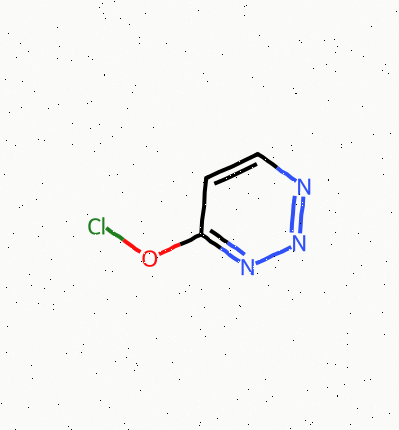 ClOc1ccnnn1